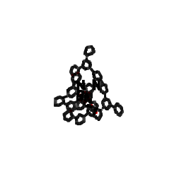 c1ccc(-c2cc(-c3ccccc3)cc(-c3ccc4c5ccc(-c6cc(-c7ccccc7)cc(-c7ccccc7)c6)cc5n(-c5cc6c7c(c5)-n5c8ccccc8c8cc(-c9ccccc9-c9cccc(-c%10ccccc%10)c9)cc(c85)B7c5cc(-c7ccccc7-c7cccc(-c8ccccc8)c7)cc7c8ccccc8n-6c57)c4c3)c2)cc1